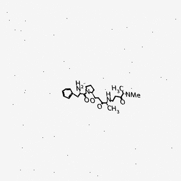 CN[C@@H](C)C(=O)CCN[C@@H](C)C(=O)CC(=O)[C@@H]1CCCN1C(=O)[C@@H](N)Cc1ccccc1